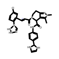 Cc1c2c(nn1C)CCN(C(=O)/C=C/c1cc(Cl)ccc1N1C=NNN1)C2C(=O)Nc1ccc(C2NC=CN2)cc1